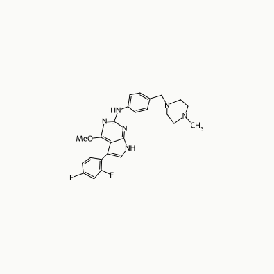 COc1nc(Nc2ccc(CN3CCN(C)CC3)cc2)nc2[nH]cc(-c3ccc(F)cc3F)c12